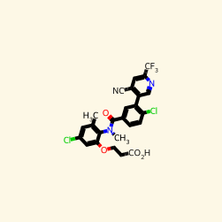 Cc1cc(Cl)cc(OCCC(=O)O)c1N(C)C(=O)c1ccc(Cl)c(-c2cnc(C(F)(F)F)cc2C#N)c1